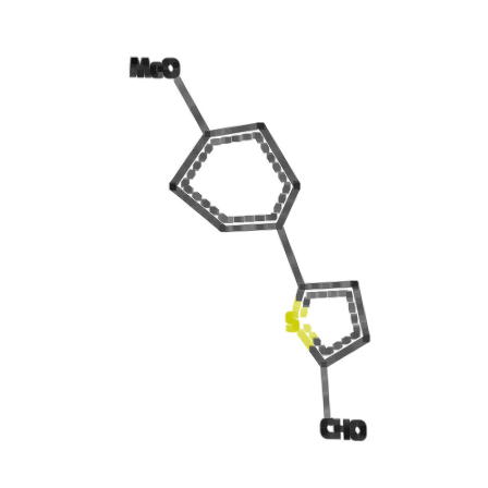 COc1ccc(-c2ccc(C=O)s2)cc1